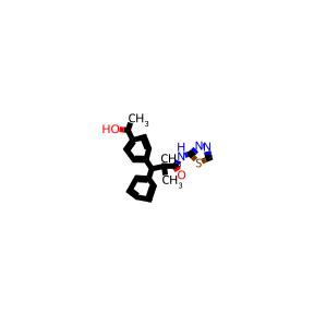 CC(O)c1ccc(C(c2ccccc2)C(C)(C)C(=O)Nc2nncs2)cc1